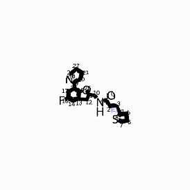 O=C(/C=C/c1cccs1)NCC1Cc2cc(F)cc(-c3ccccn3)c2O1